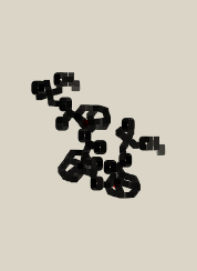 CCC1(COC(=O)C23CC4CC(CC(OC(=O)C56CC7CC(C5)CC(C(=O)OC58CC9CC(C5)CC(C(=O)OCC5(CC)COC5)(C9)C8)(C7)C6)(C4)C2)C3)COC1